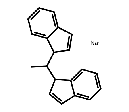 CC(C1C=Cc2ccccc21)C1C=Cc2ccccc21.[Na]